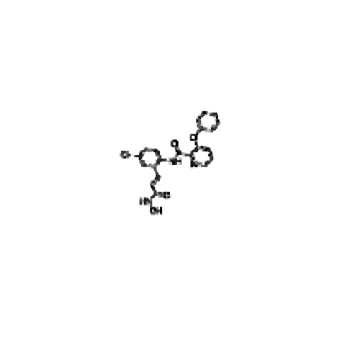 O=C(C=Cc1cc(Cl)ccc1NC(=O)c1ncccc1Oc1ccccc1)NO